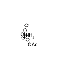 CC(=O)OCc1ccc(C(=O)N(N)C(=O)c2ccc(-c3ccccc3)cc2)cc1